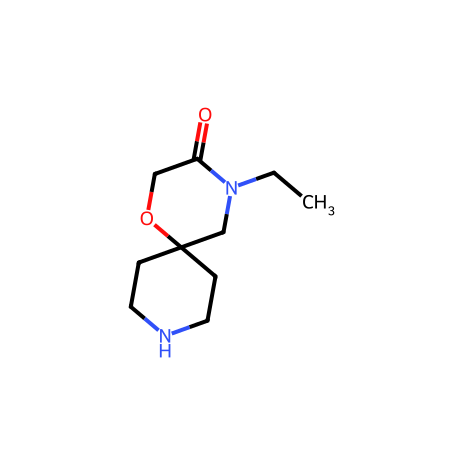 CCN1CC2(CCNCC2)OCC1=O